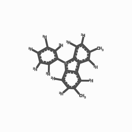 [2H]c1c([2H])c([2H])c(-n2c3c([2H])c([2H])c(C)c([2H])c3c3c([2H])c(C)c([2H])c([2H])c32)c([2H])c1[2H]